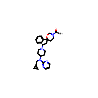 CC(C)(C)C(=O)N1CCC(CCN2CCC(N(CC3CC3)c3ncccn3)CC2)(c2ccccc2)OC1